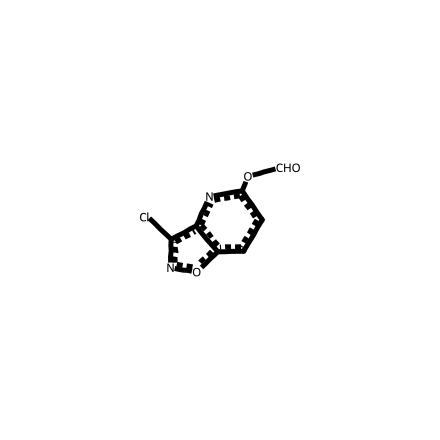 O=COc1ccc2onc(Cl)c2n1